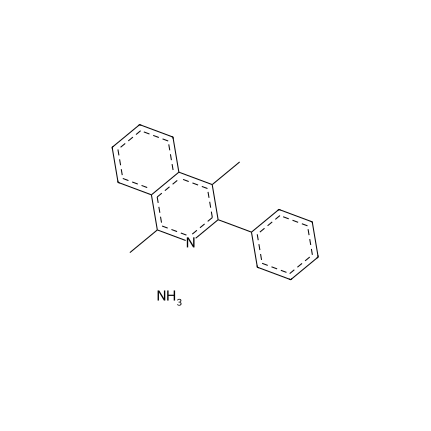 Cc1nc(-c2ccccc2)c(C)c2ccccc12.N